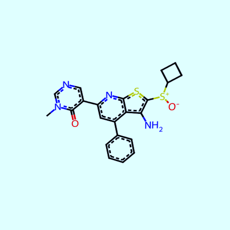 Cn1cncc(-c2cc(-c3ccccc3)c3c(N)c([S+]([O-])C4CCC4)sc3n2)c1=O